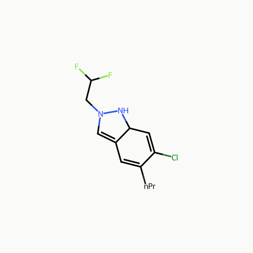 CCCC1=CC2=CN(CC(F)F)NC2C=C1Cl